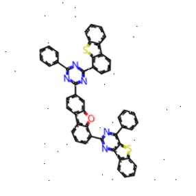 c1ccc(-c2nc(-c3ccc4c(c3)oc3c(-c5nc(-c6ccccc6)c6sc7ccccc7c6n5)cccc34)nc(-c3cccc4c3sc3ccccc34)n2)cc1